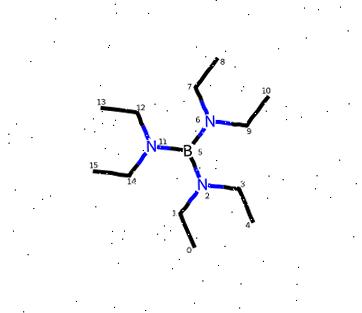 CCN(CC)B(N(CC)CC)N(CC)CC